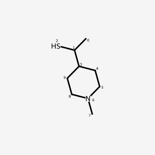 CC(S)C1CCN(C)CC1